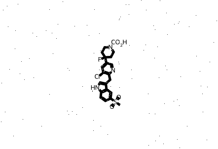 CS(=O)(=O)c1ccc2[nH]cc(Cc3ncc(C4(F)CCN(C(=O)O)CC4)cc3Cl)c2c1